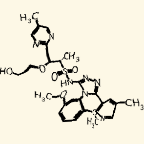 COc1cccc(OC)c1-n1c(NS(=O)(=O)[C@@H](C)[C@@H](OCCO)c2ncc(C)cn2)nnc1-c1cncc(C)c1